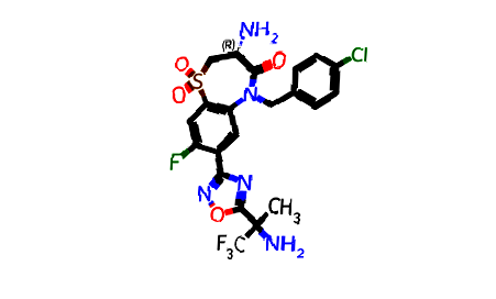 CC(N)(c1nc(-c2cc3c(cc2F)S(=O)(=O)C[C@H](N)C(=O)N3Cc2ccc(Cl)cc2)no1)C(F)(F)F